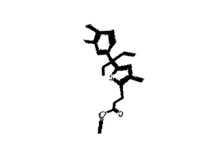 CCC(CC)(c1ccc(C)c(C)c1)c1cc(C)c(CCC(=O)OC)s1